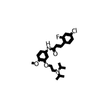 COc1ccc(NC(=O)/C=C/c2ccc(Cl)cc2F)cc1OCCN(C(C)C)C(C)C